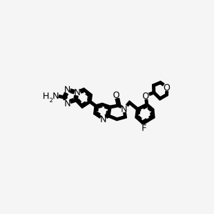 Nc1nc2cc(-c3cnc4c(c3)C(=O)N(Cc3cc(F)ccc3OC3CCOCC3)CC4)ccn2n1